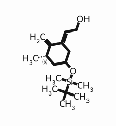 C=C1C(=CCO)CC(O[Si](C)(C)C(C)(C)C)C[C@@H]1C